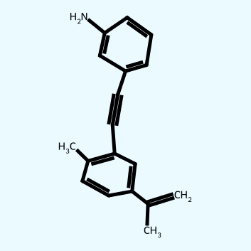 C=C(C)c1ccc(C)c(C#Cc2cccc(N)c2)c1